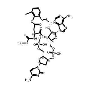 CCSSc1cccc(C)c1OC(=O)C[C@H](NC(=O)OC(C)(C)C)C(=O)O[C@H]1[C@@H](O)[C@H](n2cnc3c(N)ncnc32)O[C@@H]1COP(=O)(O)O[C@H]1C[C@H](n2ccc(N)nc2=O)O[C@@H]1COP(=O)(O)O